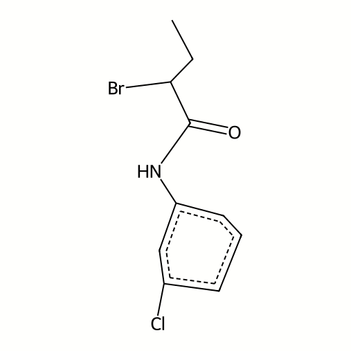 CCC(Br)C(=O)Nc1cccc(Cl)c1